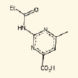 CCC(=O)Nc1nc(C)cc(C(=O)O)n1